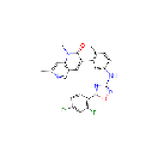 Cc1cc2c(cn1)cc(-c1cc(Nc3noc(-c4ccc(F)cc4F)n3)ccc1C)c(=O)n2C